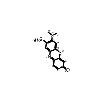 CCCCCCCCCc1cc2nc3ccc(=O)cc-3sc2cc1N(C)C